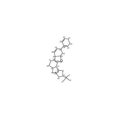 CC(C)(C)C1CC2=[N+](CC3CCC4=C(OC5CC(C6=CCCC=C6)C=CC45)C23)C1